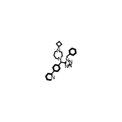 c1ccc(Cn2nnnc2C(c2ccc(-c3ccccn3)cc2)N2CCCN(C3CCC3)CC2)cc1